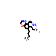 CCCCc1cc2c(c(/C=C\N)c1CCC)NCCO2